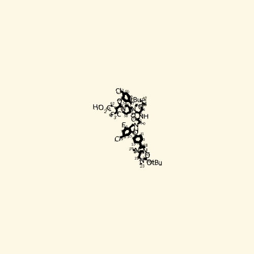 C[C@H](NCc1c(F)cc(Cl)cc1Oc1ccc(-c2cnc(CN(C)C(=O)OC(C)(C)C)n2C)cc1)C(=O)NC(CO[Si](C)(C)C(C)(C)C)C(=O)N(C)[C@@]1(Cc2ccc(Cl)cc2)CCCN(C(=O)[C@@H](CC(=O)O)CC(F)(F)F)C1